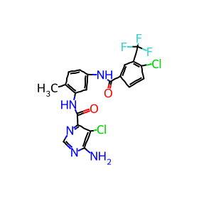 Cc1ccc(NC(=O)c2ccc(Cl)c(C(F)(F)F)c2)cc1NC(=O)c1ncnc(N)c1Cl